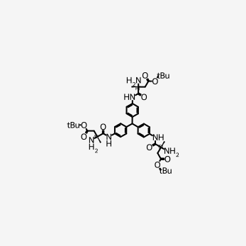 CC(C)(C)OC(=O)C[C@@](C)(N)C(=O)Nc1ccc(C(c2ccc(NC(=O)[C@](C)(N)CC(=O)OC(C)(C)C)cc2)c2ccc(NC(=O)[C@](C)(N)CC(=O)OC(C)(C)C)cc2)cc1